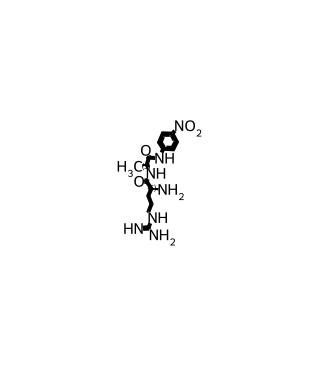 C[C@H](NC(=O)[C@@H](N)CCCNC(=N)N)C(=O)Nc1ccc([N+](=O)[O-])cc1